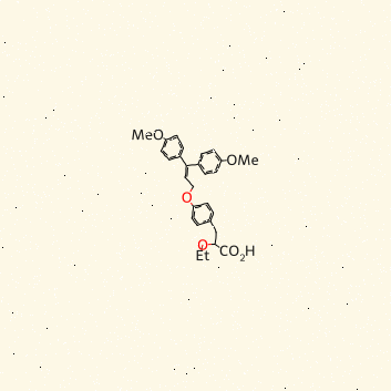 CCOC(Cc1ccc(OCC=C(c2ccc(OC)cc2)c2ccc(OC)cc2)cc1)C(=O)O